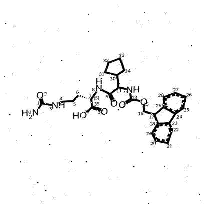 NC(=O)NCCC[C@H](NC(=O)C(NC(=O)OCC1c2ccccc2-c2ccccc21)C1CCCC1)C(=O)O